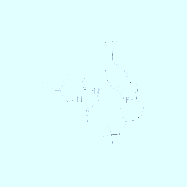 COC(=O)CN1C(=O)CN(c2cc(C3CC3)cn3cc(CN(C)C(=O)OC(C)(C)C)nc23)C1=O